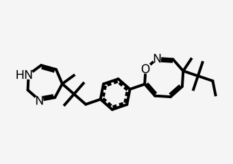 CCC(C)(C)C1(C)/C=C\C=C(\c2ccc(CC(C)(C)C3(C)C=CNCN=C3)cc2)O/N=C\1